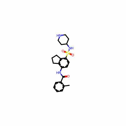 Cc1ccccc1C(=O)Nc1ccc(S(=O)(=O)NC2CCNCC2)c2c1CCC2